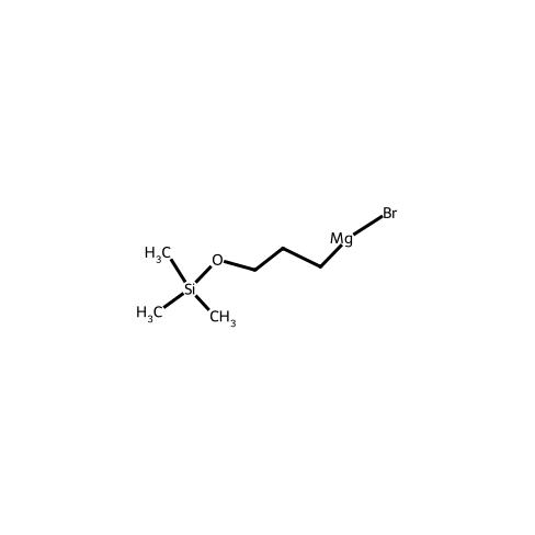 C[Si](C)(C)OCC[CH2][Mg][Br]